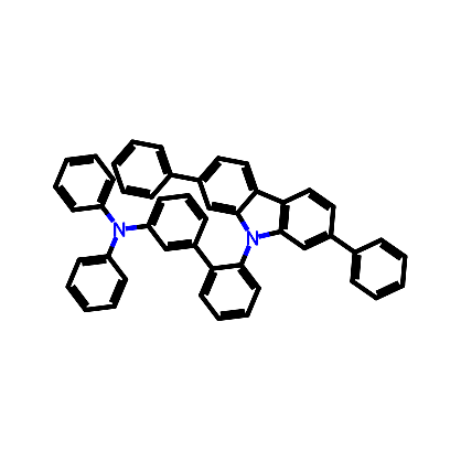 c1ccc(-c2ccc3c4ccc(-c5ccccc5)cc4n(-c4ccccc4-c4cccc(N(c5ccccc5)c5ccccc5)c4)c3c2)cc1